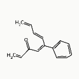 C=CC=CC(=CC(=O)C=C)c1ccccc1